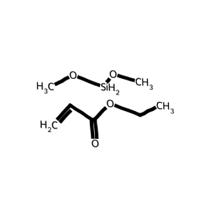 C=CC(=O)OCC.CO[SiH2]OC